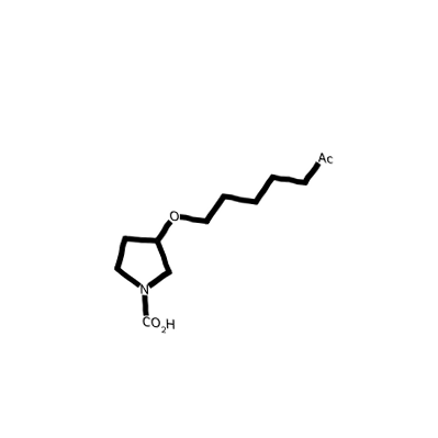 CC(=O)CCCCCOC1CCN(C(=O)O)C1